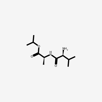 CC(C)OC(=O)[C@H](C)NC(=O)[C@@H](N)C(C)C